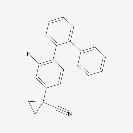 N#CC1(c2ccc(-c3ccccc3-c3ccccc3)c(F)c2)CC1